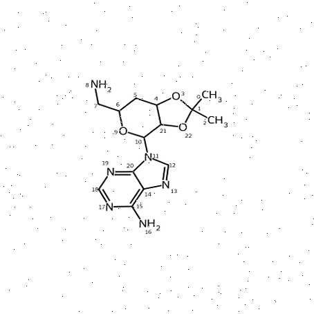 CC1(C)OC2CC(CN)OC(n3cnc4c(N)ncnc43)C2O1